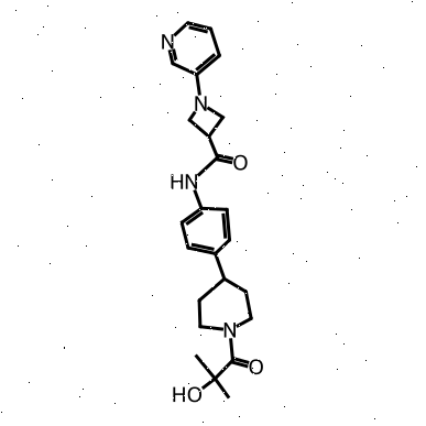 CC(C)(O)C(=O)N1CCC(c2ccc(NC(=O)C3CN(c4cccnc4)C3)cc2)CC1